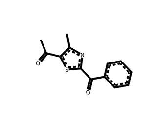 CC(=O)c1sc(C(=O)c2ccccc2)nc1C